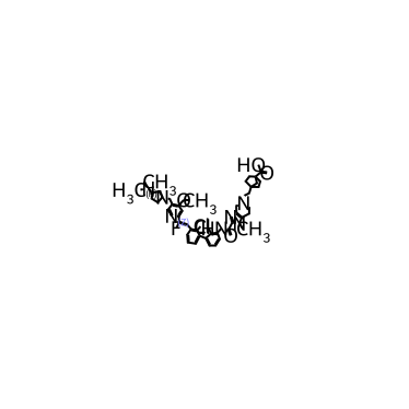 COc1cc(/C(F)=C/c2cccc(-c3cccc(NC(=O)c4nc5c(n4C)CCN(CCC46CCC(C(=O)O)(CC4)C6)C5)c3Cl)c2Cl)ncc1CN1CC[C@@H](N(C)C)C1